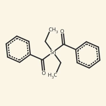 C[CH2][Sn]([CH2]C)([C](=O)c1ccccc1)[C](=O)c1ccccc1